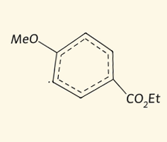 CCOC(=O)c1c[c]c(OC)cc1